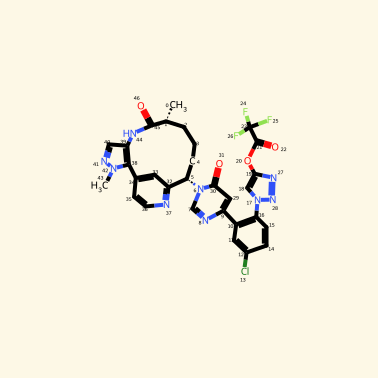 C[C@@H]1CCC[C@H](n2cnc(-c3cc(Cl)ccc3-n3cc(OC(=O)C(F)(F)F)nn3)cc2=O)c2cc(ccn2)-c2c(cnn2C)NC1=O